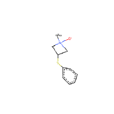 CCCC[N+]1([O-])CC(Sc2ccccc2)C1